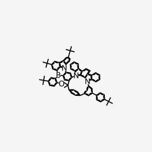 CC(C)(C)c1ccc(-c2cc3cc(c2)-n2c4ccccc4c4ccc5c6ccccc6n(c5c42)-c2cc4c5c(c2C(C)(C)c2ccc-3cc2)Oc2ccc(C(C)(C)C)cc2B5c2cc(C(C)(C)C)cc3c5cc(C(C)(C)C)ccc5n-4c23)cc1